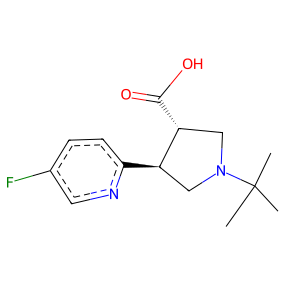 CC(C)(C)N1C[C@@H](C(=O)O)[C@H](c2ccc(F)cn2)C1